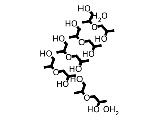 CC(O)COC(C)CO.CC(O)COC(C)CO.CC(O)COC(C)CO.CC(O)COC(C)CO.CC(O)COC(C)CO.O.O